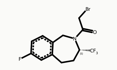 O=C(CBr)N1Cc2ccc(F)cc2CC[C@H]1C(F)(F)F